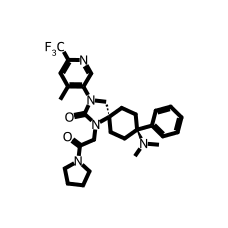 Cc1cc(C(F)(F)F)ncc1N1C[C@]2(CC[C@](c3ccccc3)(N(C)C)CC2)N(CC(=O)N2CCCC2)C1=O